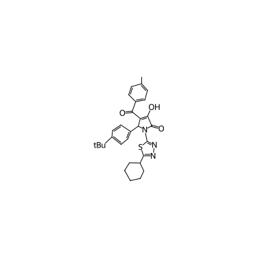 Cc1ccc(C(=O)C2=C(O)C(=O)N(c3nnc(C4CCCCC4)s3)C2c2ccc(C(C)(C)C)cc2)cc1